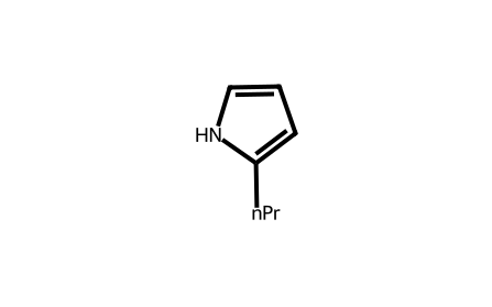 [CH2]CCc1ccc[nH]1